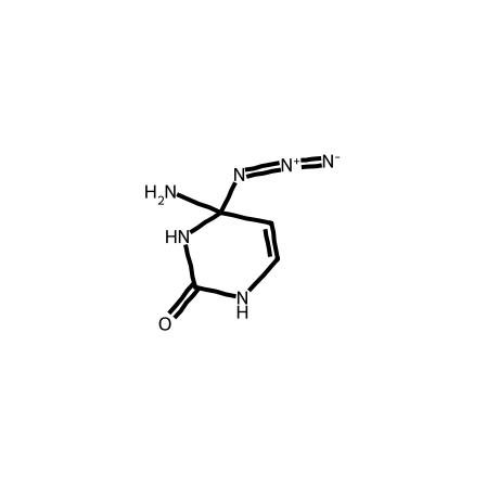 [N-]=[N+]=NC1(N)C=CNC(=O)N1